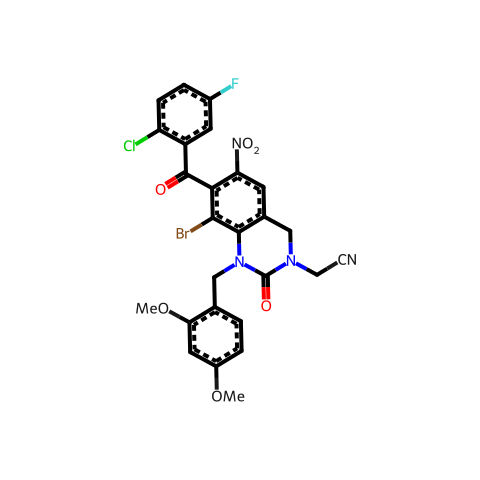 COc1ccc(CN2C(=O)N(CC#N)Cc3cc([N+](=O)[O-])c(C(=O)c4cc(F)ccc4Cl)c(Br)c32)c(OC)c1